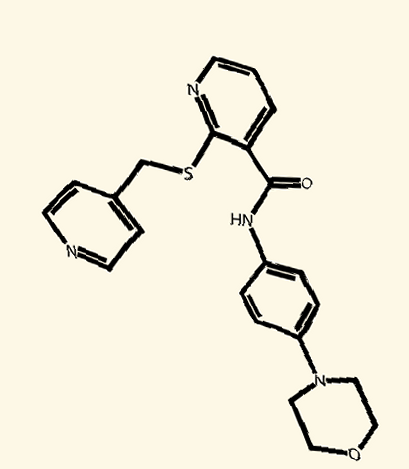 O=C(Nc1ccc(N2CCOCC2)cc1)c1cccnc1SCc1ccncc1